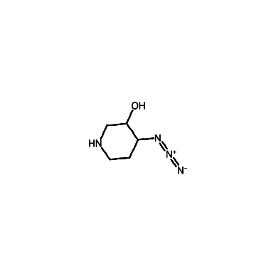 [N-]=[N+]=NC1CCNCC1O